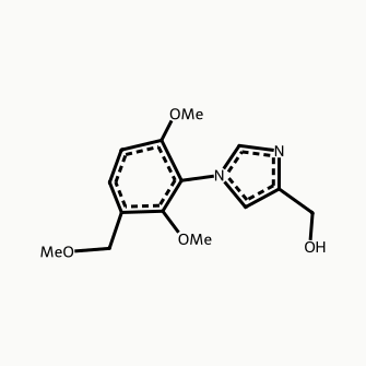 COCc1ccc(OC)c(-n2cnc(CO)c2)c1OC